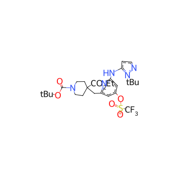 CCOC(=O)C1(Cc2cc(OS(=O)(=O)C(F)(F)F)cc(Nc3ccnn3C(C)(C)C)n2)CCN(C(=O)OC(C)(C)C)CC1